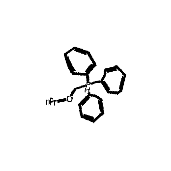 CCCOC[PH](c1ccccc1)(c1ccccc1)c1ccccc1